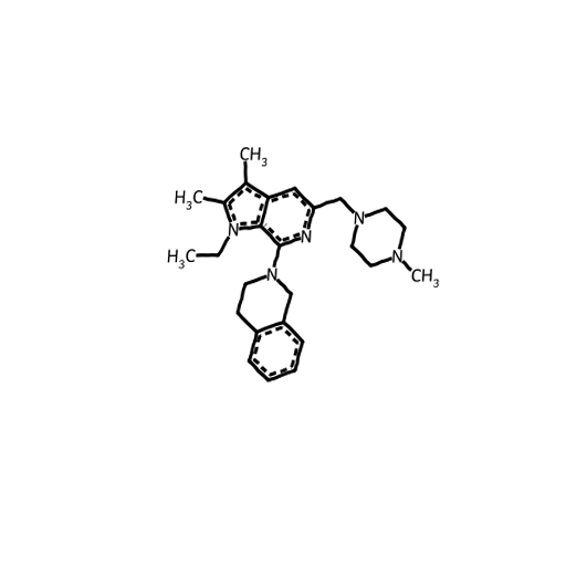 CCn1c(C)c(C)c2cc(CN3CCN(C)CC3)nc(N3CCc4ccccc4C3)c21